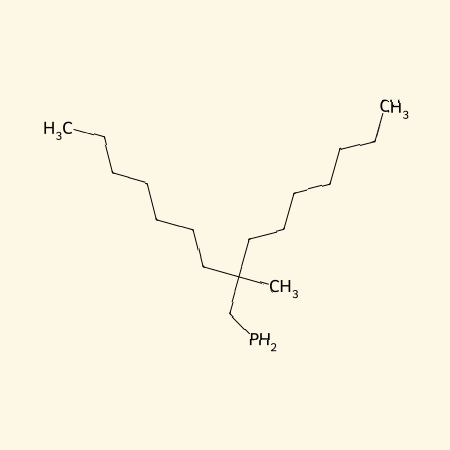 CCCCCCCC(C)(CP)CCCCCCC